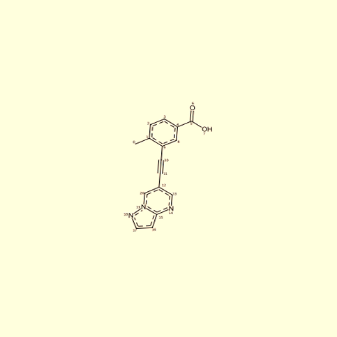 Cc1ccc(C(=O)O)cc1C#Cc1cnc2ccnn2c1